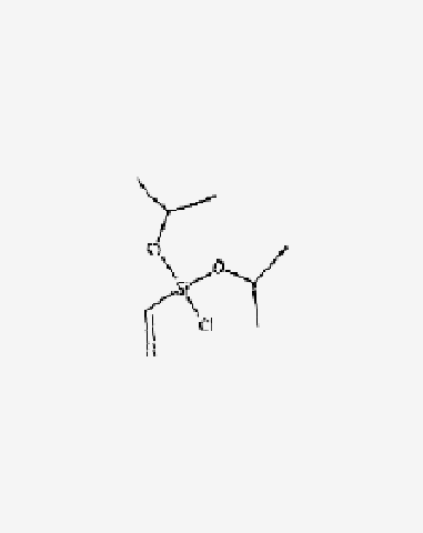 C=C[Si](Cl)(OC(C)C)OC(C)C